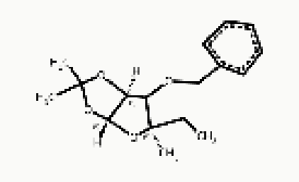 CC[C@@]1(C)O[C@@H]2OC(C)(C)O[C@H]2C1OCc1ccccc1